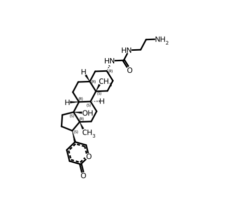 C[C@]12CC[C@@H](NC(=O)NCCN)C[C@H]1CC[C@@H]1[C@@H]2CC[C@]2(C)[C@@H](c3ccc(=O)oc3)CC[C@]12O